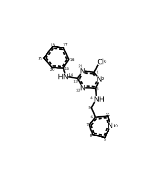 Clc1nc(NCc2cccnc2)nc(Nc2ccccc2)n1